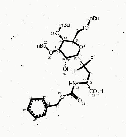 CCCCOC[C@H]1O[C@H](C(F)(F)C[C@H](NC(=O)OCc2ccccc2)C(=O)O)[C@H](O)[C@@H](OCCCC)[C@H]1OCCCC